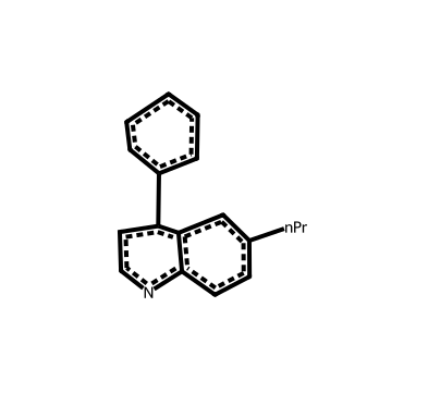 CCCc1ccc2nccc(-c3ccccc3)c2c1